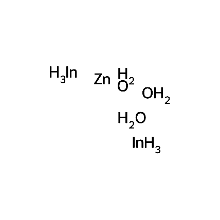 O.O.O.[InH3].[InH3].[Zn]